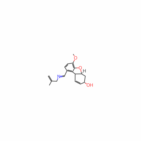 C=C(C)C/N=C/c1ccc(OC)c2c1C1C=C[C@H](O)C[C@@H]1O2